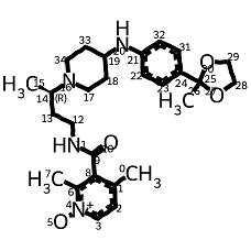 Cc1cc[n+]([O-])c(C)c1C(=O)NCC[C@@H](C)N1CCC(Nc2ccc(C3(C)OCCO3)cc2)CC1